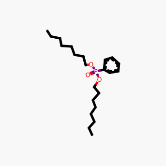 CCCCCCCCOP(=O)(OCCCCCCCC)c1ccccc1